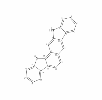 c1ccc2c(c1)[nH]c1cc3c(ccc4c5ccccc5sc34)cc12